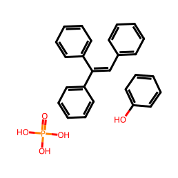 C(=C(c1ccccc1)c1ccccc1)c1ccccc1.O=P(O)(O)O.Oc1ccccc1